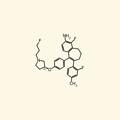 Cc1ccc(C2=C(c3ccc(O[C@H]4CCN(CCCF)C4)cc3)c3ccc(N)c(F)c3CCC2)c(F)c1